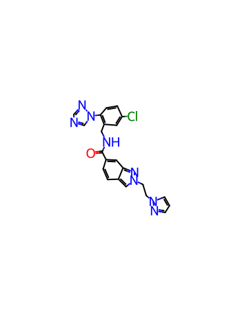 O=C(NCc1cc(Cl)ccc1-n1cncn1)c1ccc2cn(CCn3cccn3)nc2c1